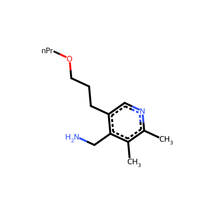 CCCOCCCc1cnc(C)c(C)c1CN